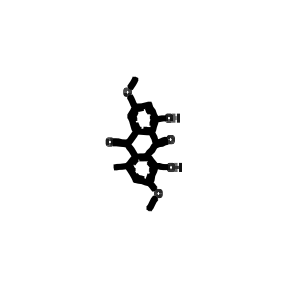 COc1cc(O)c2c(c1)C(=O)c1c(C)cc(OC)c(O)c1C2=O